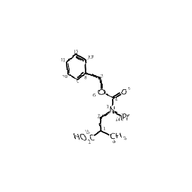 CC(CN(C(=O)OCc1ccccc1)C(C)C)C(=O)O